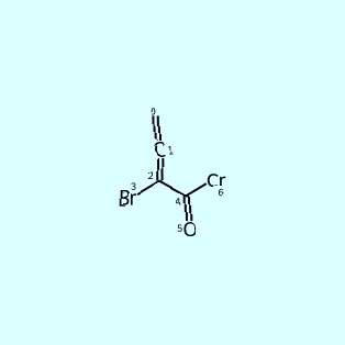 C=C=C(Br)[C](=O)[Cr]